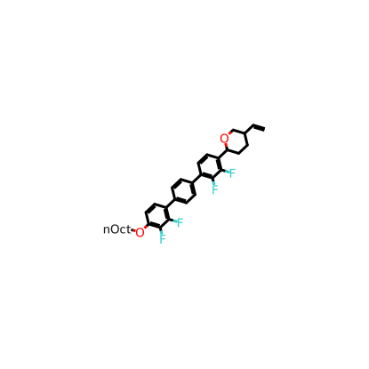 C=CC1CCC(c2ccc(-c3ccc(-c4ccc(OCCCCCCCC)c(F)c4F)cc3)c(F)c2F)OC1